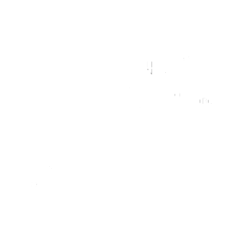 CC(C)(C)OC(=O)Nc1ccc(C2=CCC(=O)CC2)cc1